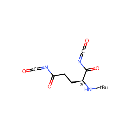 CC(C)(C)N[C@@H](CCC(=O)N=C=O)C(=O)N=C=O